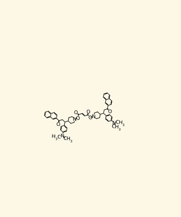 CN(C)c1ccc(C(CC(=O)c2ccc3ccccc3c2)C2CCN(OC(=O)/C=C/C(=O)ON3CCC(C(CC(=O)c4ccc5ccccc5c4)c4ccc(N(C)C)cc4)CC3)CC2)cc1